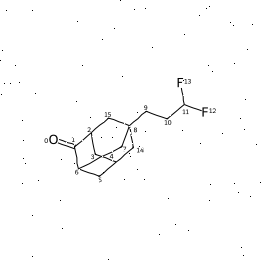 O=C1C2CC3CC1CC(CCC(F)F)(C3)C2